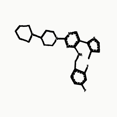 Cc1ccsc1-c1cnc(N2CCC(N3CCCCC3)CC2)nc1NCc1ccc(F)cc1F